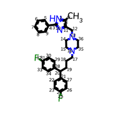 Cc1[nH]c(-c2ccccc2)nc1CN1CCN(CCCC(c2ccc(F)cc2)c2ccc(F)cc2)CC1